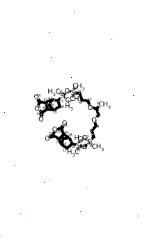 CC(COCCC[Si](C)(C)O[Si](C)(C)C1CC2CC1C1C(=O)OC(=O)C21)OCCC[Si](C)(C)O[Si](C)(C)C1CC2CC1C1C(=O)OC(=O)C21